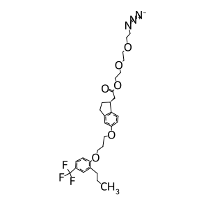 CCCc1cc(C(F)(F)F)ccc1OCCCOc1ccc2c(c1)CC[C@H]2CC(=O)OCCOCCOCCN=[N+]=[N-]